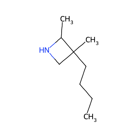 CCCCC1(C)CNC1C